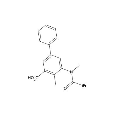 Cc1c(C(=O)O)cc(-c2ccccc2)cc1N(C)C(=O)C(C)C